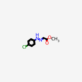 COC(=O)C=NNc1ccc(Cl)cc1